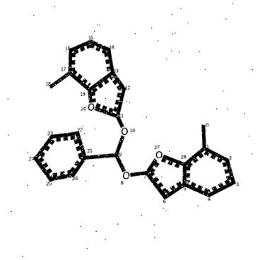 Cc1cccc2cc(OC(Oc3cc4cccc(C)c4o3)c3ccccc3)oc12